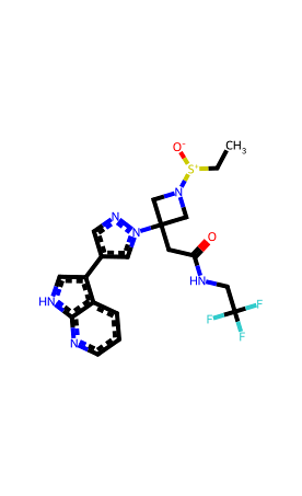 CC[S+]([O-])N1CC(CC(=O)NCC(F)(F)F)(n2cc(-c3c[nH]c4ncccc34)cn2)C1